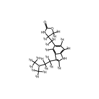 [2H]c1[nH]c2c([2H])c([2H])c(C([2H])([2H])[C@]3([2H])NC(=O)OC3([2H])[2H])c([2H])c2c1C([2H])([2H])C([2H])([2H])N(C([2H])([2H])[2H])C([2H])([2H])[2H]